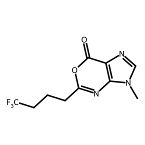 Cn1cnc2c(=O)oc(CCCC(F)(F)F)nc21